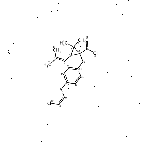 CC(C)=CC1C(C)(C)C1(Cc1ccc(C/C=C\Cl)cc1)C(=O)O